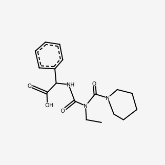 CCN(C(=O)NC(C(=O)O)c1ccccc1)C(=O)N1CCCCC1